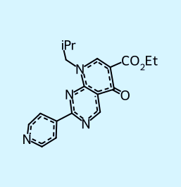 CCOC(=O)c1cn(CC(C)C)c2nc(-c3ccncc3)ncc2c1=O